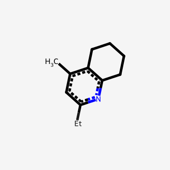 CCc1cc(C)c2c(n1)CCCC2